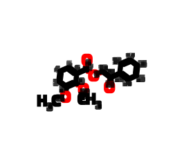 COc1cccc(C(=O)OCC(=O)c2ccccc2)c1OC